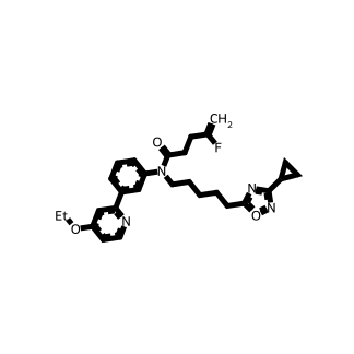 C=C(F)CCC(=O)N(CCCCCc1nc(C2CC2)no1)c1cccc(-c2cc(OCC)ccn2)c1